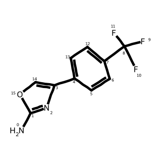 Nc1nc(-c2ccc(C(F)(F)F)cc2)co1